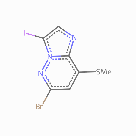 CSc1cc(Br)nn2c(I)cnc12